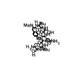 CC[C@H](C)[C@H](NC(=O)[C@@H](Cc1ccc(Cl)cc1)NC)C(=O)N[C@@H](CO)C(=O)N[C@H](CCC(N)=O)C(=O)N[C@@H](C(=O)N[C@H](C(=O)N[C@@H](CO)C(N)=O)[C@@H](C)CC)[C@@H](C)CC